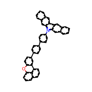 c1ccc2cc3c(cc2c1)c1cc2ccccc2cc1n3-c1ccc(-c2ccc(-c3ccc4c(c3)-c3cccc5cccc(c35)O4)cc2)cc1